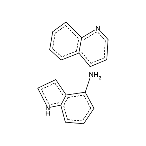 Nc1cccc2[nH]ccc12.c1ccc2ncccc2c1